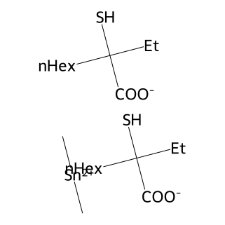 CCCCCCC(S)(CC)C(=O)[O-].CCCCCCC(S)(CC)C(=O)[O-].[CH3][Sn+2][CH3]